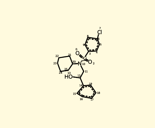 O=S(=O)(c1ccc(Cl)cc1)N(CC(O)c1ccccc1)C1CCCCC1